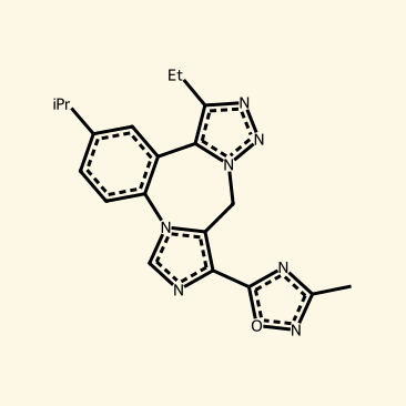 CCc1nnn2c1-c1cc(C(C)C)ccc1-n1cnc(-c3nc(C)no3)c1C2